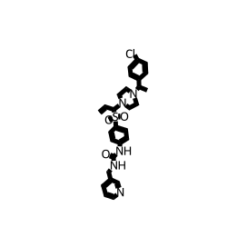 C=CC(N1CCN(C(C)c2ccc(Cl)cc2)CC1)S(=O)(=O)c1ccc(NC(=O)NCc2cccnc2)cc1